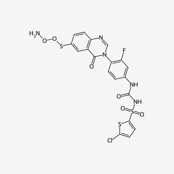 NOOSc1ccc2ncn(-c3ccc(NC(=O)NS(=O)(=O)c4ccc(Cl)s4)cc3F)c(=O)c2c1